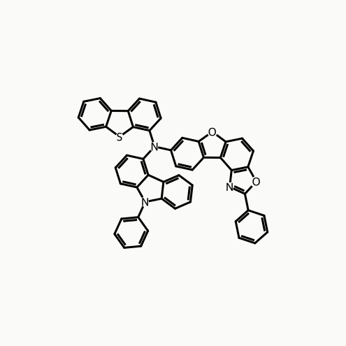 c1ccc(-c2nc3c(ccc4oc5cc(N(c6cccc7c6sc6ccccc67)c6cccc7c6c6ccccc6n7-c6ccccc6)ccc5c43)o2)cc1